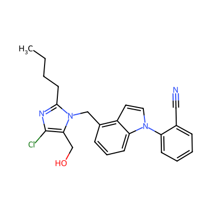 CCCCc1nc(Cl)c(CO)n1Cc1cccc2c1ccn2-c1ccccc1C#N